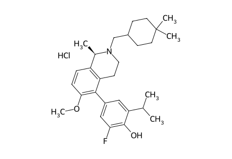 COc1ccc2c(c1-c1cc(F)c(O)c(C(C)C)c1)CCN(CC1CCC(C)(C)CC1)[C@@H]2C.Cl